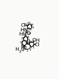 CN1CCc2cc(Cl)c(O)cc2[C@H]2c3ccc(NC(=O)Nc4ccccc4Cl)cc3CC[C@@H]21